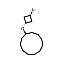 N[C@H]1C[C@H](OC2CCCCCCCCCC2)C1